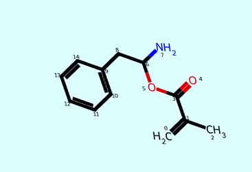 C=C(C)C(=O)OC(N)Cc1ccccc1